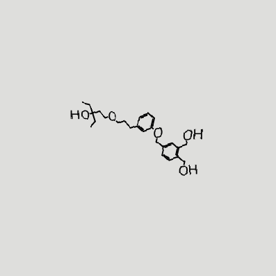 CCC(O)(CC)CCOCCCc1cccc(OCc2ccc(CO)c(CO)c2)c1